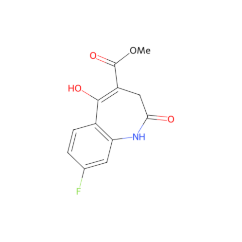 COC(=O)C1=C(O)c2ccc(F)cc2NC(=O)C1